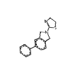 c1ccc(-c2ccc3c(c2)CN(C2=NCCS2)C3)cc1